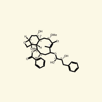 CC/C1=C(/C)C(O[C@H](O)[C@H](O)Cc2ccccc2)C[C@@H](O)[C@@H](OC(=O)c2ccccc2)[C@H]2[C@](C)(C[C@@H]1OC)[C@@H](O)C[C@H]1OC[C@]12OC